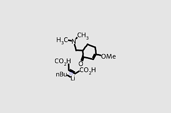 COC1=CC(=O)C(CN(C)C)CC1.O=C(O)/C=C\C(=O)O.[Li][CH2]CCC